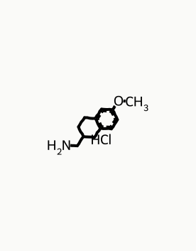 COc1ccc2c(c1)CCC(CN)C2.Cl